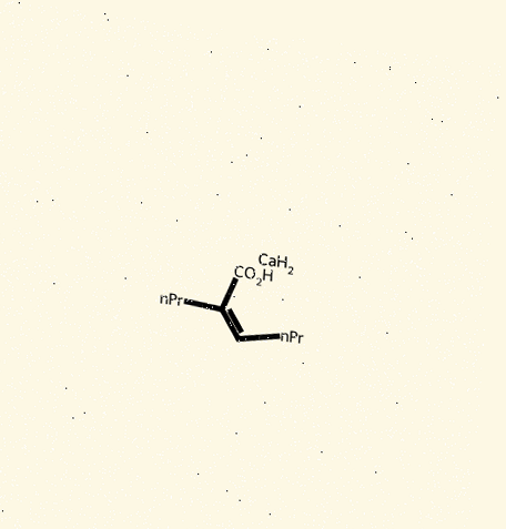 CCCC=C(CCC)C(=O)O.[CaH2]